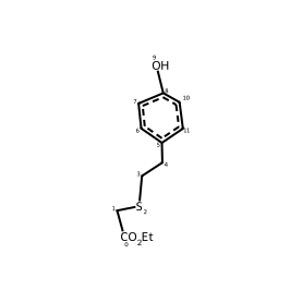 CCOC(=O)CSCCc1ccc(O)cc1